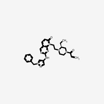 C=CC(=O)N1CCN(CCn2c(=O)ccc3cnc(Nc4cnn(Cc5ccccc5)c4)nc32)[C@@H](CC)C1